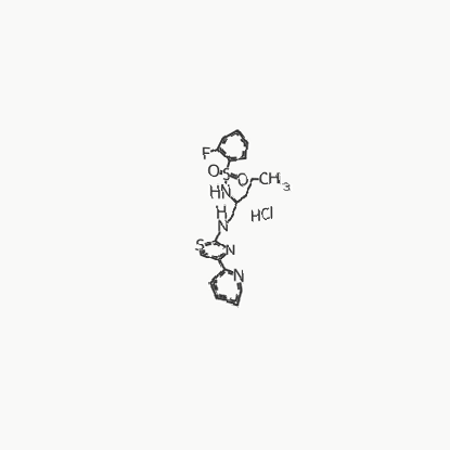 CCCC(CNc1nc(-c2ccccn2)cs1)NS(=O)(=O)c1ccccc1F.Cl